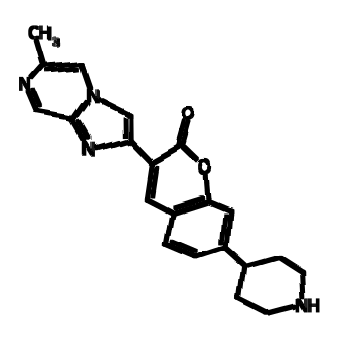 Cc1cn2cc(-c3cc4ccc(C5CCNCC5)cc4oc3=O)nc2cn1